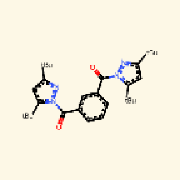 CC(C)(C)c1cc(C(C)(C)C)n(C(=O)c2cccc(C(=O)n3nc(C(C)(C)C)cc3C(C)(C)C)c2)n1